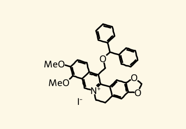 COc1ccc2c(COC(c3ccccc3)c3ccccc3)c3[n+](cc2c1OC)CCc1cc2c(cc1-3)OCO2.[I-]